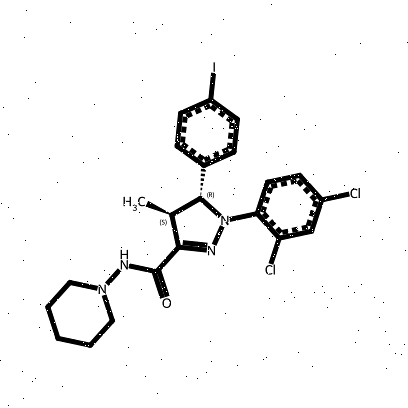 C[C@@H]1C(C(=O)NN2CCCCC2)=NN(c2ccc(Cl)cc2Cl)[C@H]1c1ccc(I)cc1